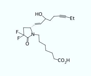 CCC#CCCC(O)/C=C/[C@H]1CC(F)(F)C(=O)N1CCCCCCC(=O)O